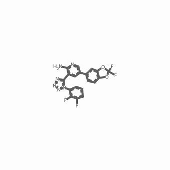 Nc1ncc(-c2ccc3c(c2)OC(F)(F)O3)cc1-c1nnnn1-c1cccc(F)c1F